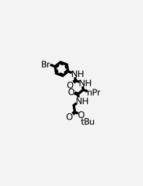 CCCC(NC(=O)Nc1ccc(Br)cc1)C(=O)NCC(=O)OC(C)(C)C